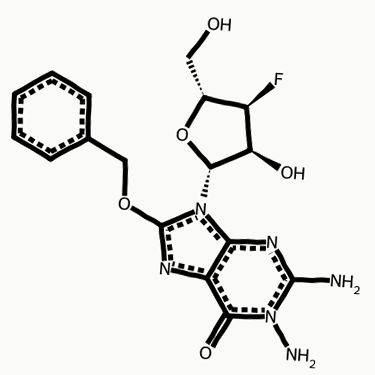 Nc1nc2c(nc(OCc3ccccc3)n2[C@@H]2O[C@H](CO)[C@@H](F)[C@H]2O)c(=O)n1N